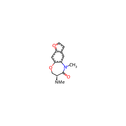 CN[C@H]1COc2cc3occc3cc2N(C)C1=O